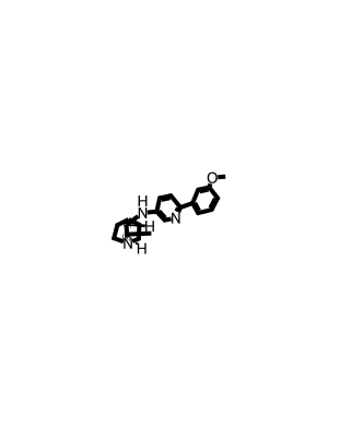 COc1cccc(-c2ccc(N[C@H]3C4CCN(CC4)[C@@H]3C)cn2)c1